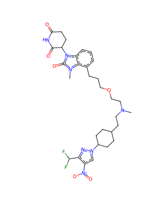 CN(CCOCCCc1cccc2c1n(C)c(=O)n2C1CCC(=O)NC1=O)CCC1CCC(n2cc([N+](=O)[O-])c(C(F)F)n2)CC1